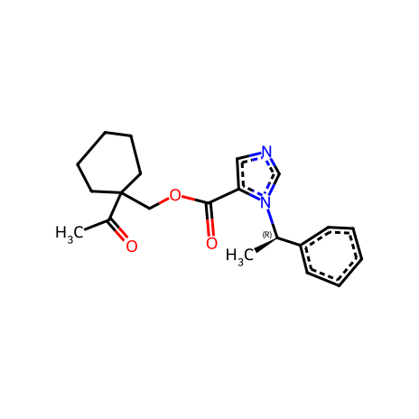 CC(=O)C1(COC(=O)c2cncn2[C@H](C)c2ccccc2)CCCCC1